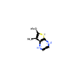 CSc1sc2c(c1C#N)NC=CN2